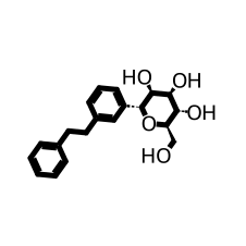 OC[C@H]1O[C@H](c2cccc(CCc3ccccc3)c2)[C@@H](O)[C@@H](O)[C@@H]1O